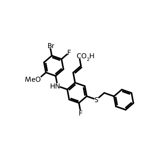 COc1cc(Br)c(F)cc1Nc1cc(F)c(SCc2ccccc2)cc1/C=C/C(=O)O